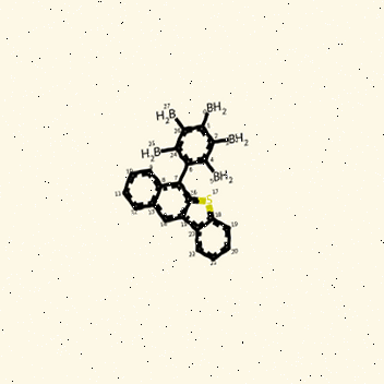 Bc1c(B)c(B)c(-c2c3ccccc3cc3c2sc2ccccc23)c(B)c1B